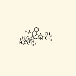 CC(C)c1nc2c(-c3ccccc3C(C)C#N)cc(CO[Si](C)(C)C(C)(C)C)cn2n1